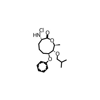 CC(C)CO[C@H]1[C@H](C)OC(=O)[C@@H](NCl)CCC[C@@H]1Oc1ccccc1